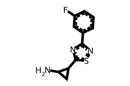 NC1CC1c1nc(-c2cccc(F)c2)ns1